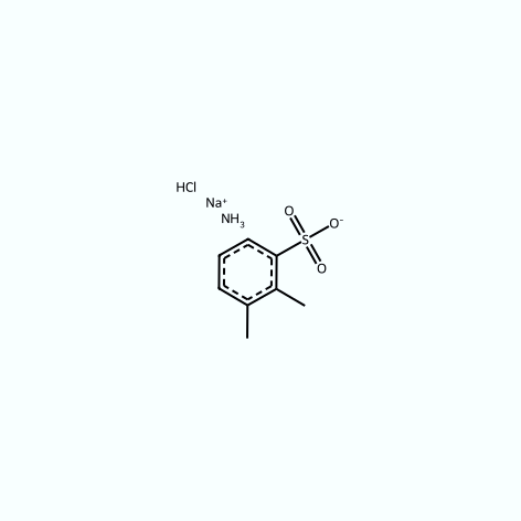 Cc1cccc(S(=O)(=O)[O-])c1C.Cl.N.[Na+]